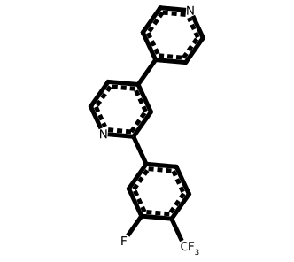 Fc1cc(-c2cc(-c3ccncc3)ccn2)ccc1C(F)(F)F